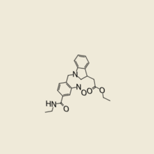 CCNC(=O)c1ccc(CN2CC(CC(=O)OCC)c3ccccc32)c(N=O)c1